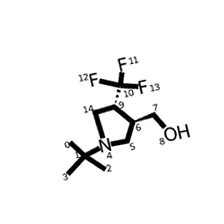 CC(C)(C)N1C[C@H](CO)[C@@H](C(F)(F)F)C1